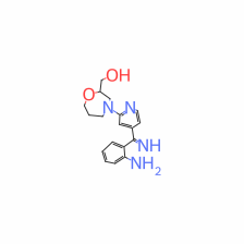 N=C(c1ccnc(N2CCCOC(CO)C2)c1)c1ccccc1N